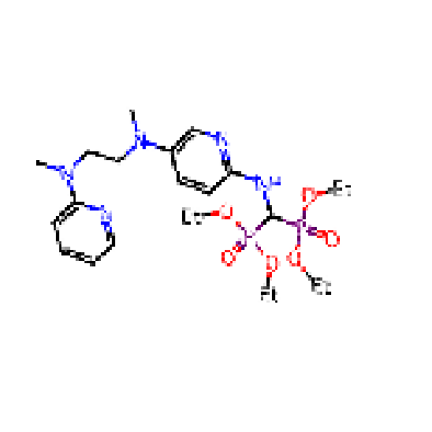 CCOP(=O)(OCC)C(Nc1ccc(N(C)CCN(C)c2ccccn2)cn1)P(=O)(OCC)OCC